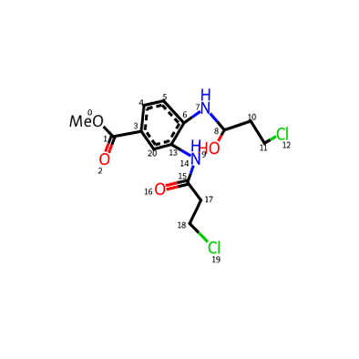 COC(=O)c1ccc(NC(O)CCCl)c(NC(=O)CCCl)c1